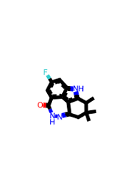 CC1c2[nH]c3cc(F)cc4c3c2C(=NNC4=O)CC1(C)C